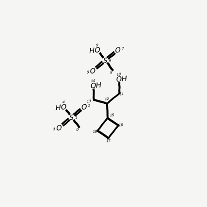 CS(=O)(=O)O.CS(=O)(=O)O.OCC(CO)C1CCC1